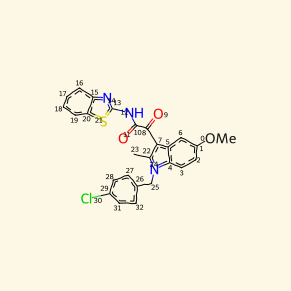 COc1ccc2c(c1)c(C(=O)C(=O)Nc1nc3ccccc3s1)c(C)n2Cc1ccc(Cl)cc1